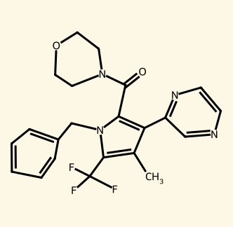 Cc1c(-c2cnccn2)c(C(=O)N2CCOCC2)n(Cc2ccccc2)c1C(F)(F)F